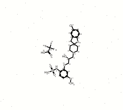 COc1ccc(NS(C)(=O)=O)c(OC[C@@H](O)CN2CCC3(CC2)Cc2cc(Cl)ccc2O3)c1.O=C(O)C(F)(F)F